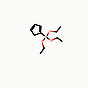 CCO[Si](OCC)(OCC)C1=CC=CC1